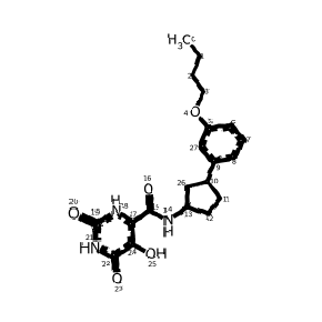 CCCCOc1cccc(C2CCC(NC(=O)c3[nH]c(=O)[nH]c(=O)c3O)C2)c1